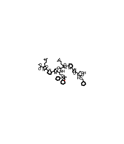 COC(=O)c1nc(-c2cccc(-c3coc(C(CO[Si](c4ccccc4)(c4ccccc4)C(C)(C)C)NC(=O)c4nc(-c5cccc(-c6coc(C(CO)NC(=O)OCc7ccccc7)n6)n5)oc4CCN(C)C)n3)n2)oc1CCN(C)C